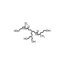 CCCCCCCCCCCCCC(C)NC(=O)CCN(CCC(=O)NC(C)CCCCCCCCCCCCC)CCN(CCO)CCO